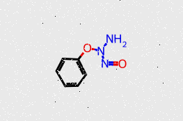 NN(N=O)Oc1ccccc1